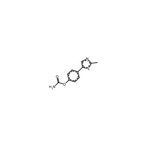 Cc1ncc(-c2ccc(OC(N)=O)cc2)s1